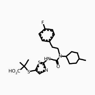 CC1CCC(N(CCc2ccc(F)cc2)C(=O)Nc2ncc(SC(C)(C)C(=O)O)s2)CC1